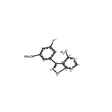 COc1cc(F)cc(C2=N[N]c3ncnc(N)c32)c1